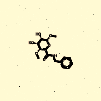 CO[C@@H]1OC(C(=O)NCc2ccccc2)[C@H](OC)[C@H](O)[C@@H]1O